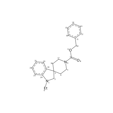 CCN1CC2(CCN(C(=O)OCc3ccccc3)CC2)c2ccccc21